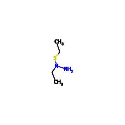 CCSN(N)CC